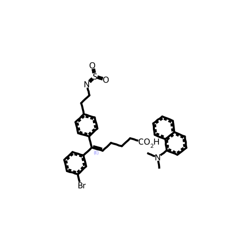 CN(C)c1cccc2ccccc12.O=C(O)CCC/C=C(\c1ccc(CCN=S(=O)=O)cc1)c1cccc(Br)c1